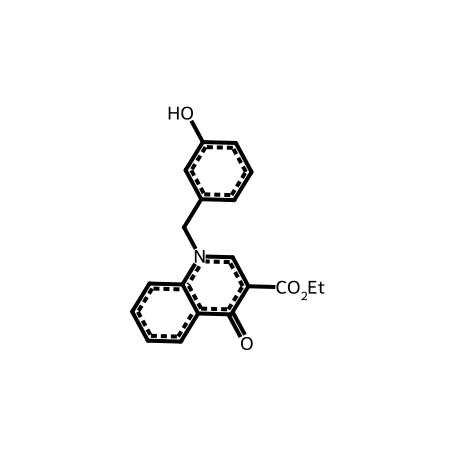 CCOC(=O)c1cn(Cc2cccc(O)c2)c2ccccc2c1=O